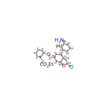 CCOC(=O)Cc1ccccc1OCc1cc(-c2cccc(N)c2F)c2cc(Cl)oc2c1